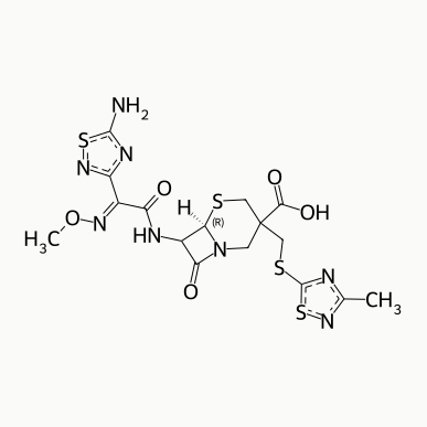 CON=C(C(=O)NC1C(=O)N2CC(CSc3nc(C)ns3)(C(=O)O)CS[C@H]12)c1nsc(N)n1